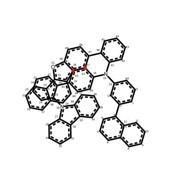 c1cc(-c2cccc3ccccc23)cc(N(c2ccc(-c3ccccc3-n3c4ccccc4c4ccccc43)cc2)c2ccccc2-c2ccc3oc4c5ccccc5ccc4c3c2)c1